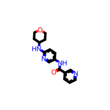 O=C(Nc1ccc(NC2CCOCC2)nc1)c1cccnc1